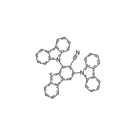 N#Cc1c(-n2c3ccccc3c3ccccc32)cc2c(sc3ccccc32)c1-n1c2ccccc2c2ccccc21